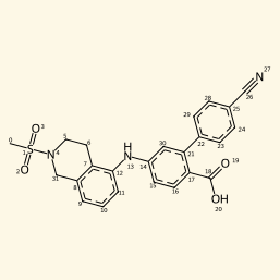 CS(=O)(=O)N1CCc2c(cccc2Nc2ccc(C(=O)O)c(-c3ccc(C#N)cc3)c2)C1